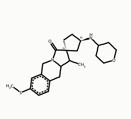 CSc1ccc2c(c1)CN1C(=O)[C@]3(CC[C@@H](NC4CCOCC4)C3)C(C)C1C2